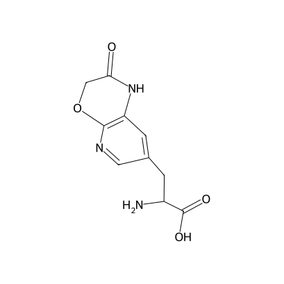 NC(Cc1cnc2c(c1)NC(=O)CO2)C(=O)O